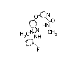 CCNC(=O)c1cc(Oc2ccc3c(c2)nc(Nc2ccccc2CF)n3C)ccn1